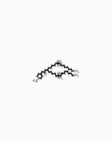 CCCCCCCCCC(C)(C)CCCCCC(CCCCCC(C)(C)CCCCCCCCC)CC(=O)CC1CCN(C)CC1